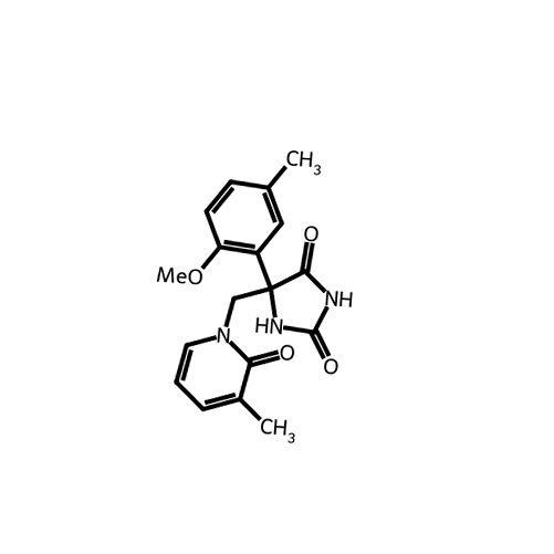 COc1ccc(C)cc1C1(Cn2cccc(C)c2=O)NC(=O)NC1=O